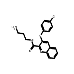 NCCCNC(=O)c1nc2ccccc2cc1Sc1ccc(Cl)cc1